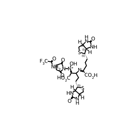 NC(=O)C(F)(F)F.O=C1N[C@H]2[C@H](CS[C@H]2CCCC(=NC(CC[C@@H]2SC[C@@H]3NC(=O)N[C@@H]32)C(C(=O)O)=[N+](O)N2C(=O)CCC2=O)C(=O)O)N1